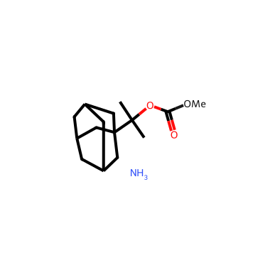 COC(=O)OC(C)(C)C12CC3CC(CC(C3)C1)C2.N